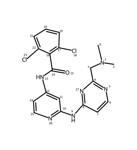 CN(C)Cc1nccc(Nc2cc(NC(=O)c3c(Cl)cccc3Cl)ccn2)n1